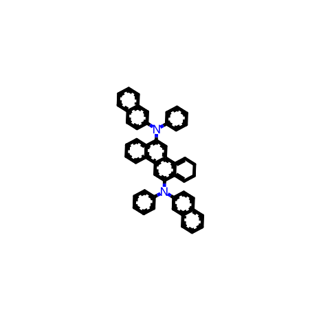 C1=c2c(N(c3ccccc3)c3ccc4ccccc4c3)cc3c(cc(N(c4ccccc4)c4ccc5ccccc5c4)c4ccccc43)c2=CCC1